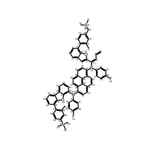 C=C/C=C(\c1cc2cccc(-c3ccc(C[SiH](C)C)cc3C)c2o1)N(c1ccc(F)cc1)c1ccc2ccc3c(N(c4ccc(F)cc4)c4cccc5c4oc4c(-c6ccc([Si](C)(C)C)cc6C)cccc45)ccc4ccc1c2c43